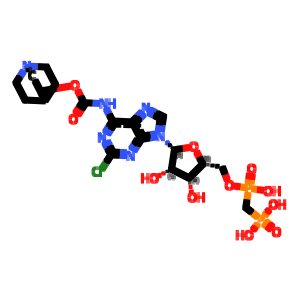 O=C(Nc1nc(Cl)nc2c1ncn2[C@@H]1O[C@H](COP(=O)(O)CP(=O)(O)O)[C@H](O)[C@@H]1O)OC1CN2CCC1CC2